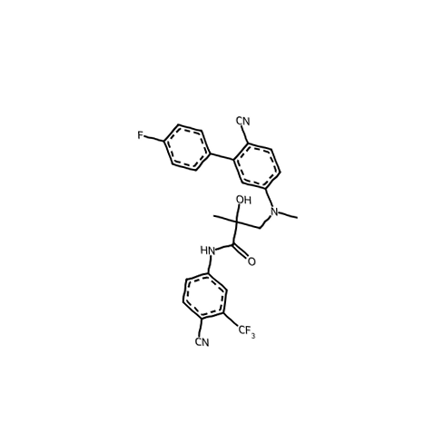 CN(CC(C)(O)C(=O)Nc1ccc(C#N)c(C(F)(F)F)c1)c1ccc(C#N)c(-c2ccc(F)cc2)c1